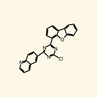 Clc1nc(-c2ccc3ncccc3c2)nc(-c2cccc3c2oc2ccccc23)n1